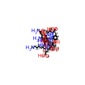 CC(C)C[C@H](NC(=O)[C@H](CO)NC(=O)[C@H](CCC(=O)O)NC(=O)[C@H](CCCCN)NC(=O)[C@@H](NC(=O)[C@@H](N)CCC(N)=O)C(C)C)C(=O)N[C@@H](CO)C(=O)N[C@@H](CO)C(=O)N[C@@H](Cc1ccc(O)cc1)C(=O)O